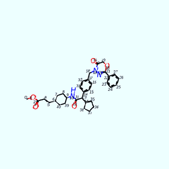 COC(=O)CC[C@H]1CC[C@@H](NC(=O)C(c2ccc(CN3N=C(c4ccccc4)OCC3=O)cc2)C2CCCC2)CC1